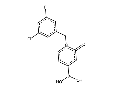 O=c1cc(B(O)O)ccn1Cc1cc(F)cc(Cl)c1